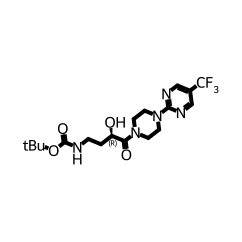 CC(C)(C)OC(=O)NCC[C@@H](O)C(=O)N1CCN(c2ncc(C(F)(F)F)cn2)CC1